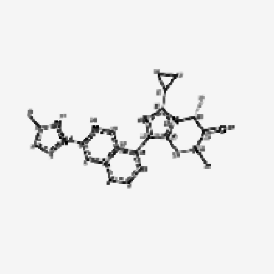 Cc1ccn(-c2cc3cccc(-c4nc(C5CC5)n5c4CN(C)C(=O)[C@H]5C)c3cn2)n1